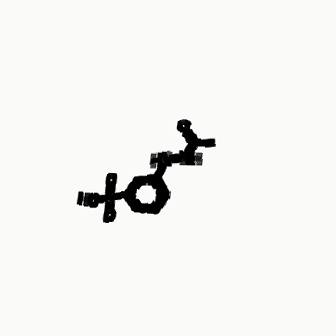 CC(=O)NNc1cccc(S(=O)(=O)O)c1